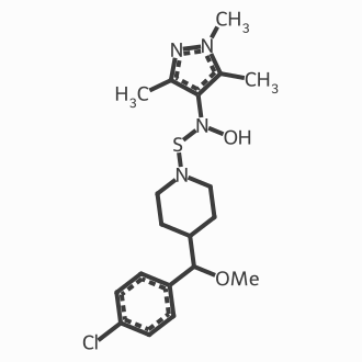 COC(c1ccc(Cl)cc1)C1CCN(SN(O)c2c(C)nn(C)c2C)CC1